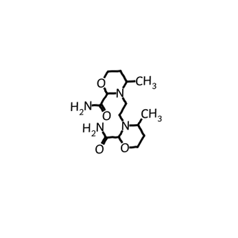 CC1CCOC(C(N)=O)N1CCN1C(C)CCOC1C(N)=O